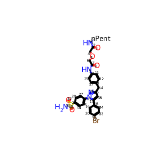 CCCCCNC(=O)COCC(=O)Nc1ccc(Cc2cc(-c3ccc(Br)cc3)n(-c3ccc(S(N)(=O)=O)cc3)n2)cc1